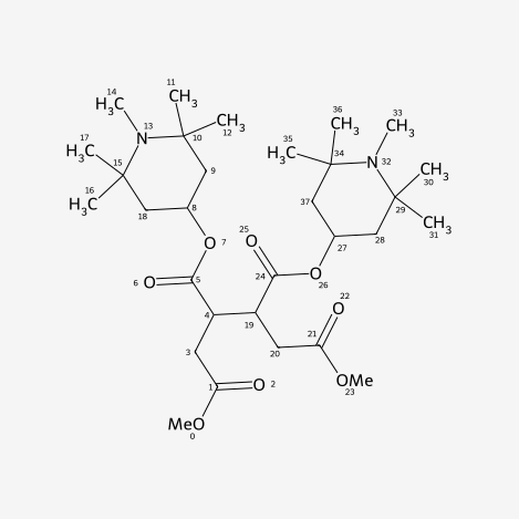 COC(=O)CC(C(=O)OC1CC(C)(C)N(C)C(C)(C)C1)C(CC(=O)OC)C(=O)OC1CC(C)(C)N(C)C(C)(C)C1